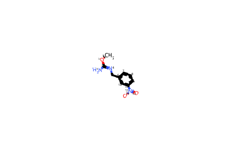 CO/C(N)=N/Cc1cccc([N+](=O)[O-])c1